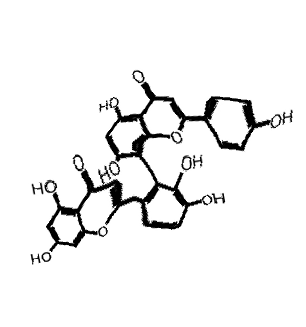 O=c1cc(-c2ccc(O)c(O)c2-c2c(O)cc(O)c3c(=O)cc(-c4ccc(O)cc4)oc23)oc2cc(O)cc(O)c12